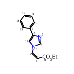 CCOC(=O)/C=C\n1cnc(-c2ccccc2)c1